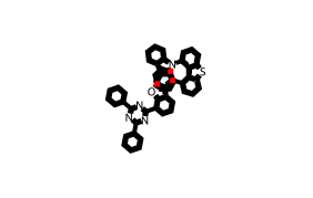 c1ccc(-c2nc(-c3ccccc3)nc(-c3cccc4c3oc3cccc(-c5cccc6sc7cccc(-n8c9ccccc9c9ccccc98)c7c56)c34)n2)cc1